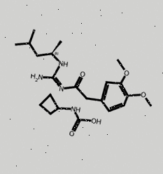 COc1ccc(CC(=O)N=C(N)N[C@H](C)CC(C)C)cc1OC.O=C(O)NC1CCC1